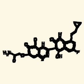 NC(=O)COc1cc2snc(-c3c(O)c4cc(F)cc(CCC5CC5)c4[nH]c3=O)[nH]c=2c(=O)c1=O